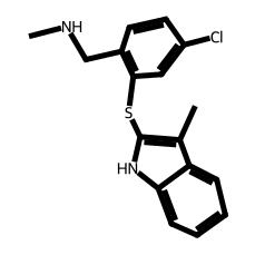 CNCc1ccc(Cl)cc1Sc1[nH]c2ccccc2c1C